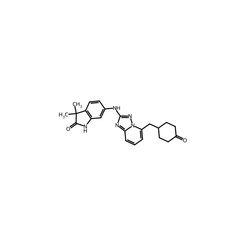 CC1(C)C(=O)Nc2cc(Nc3nc4cccc(CC5CCC(=O)CC5)n4n3)ccc21